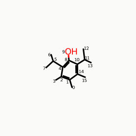 Cc1c(C)c(C(C)C)c(O)c(C(C)C)c1C